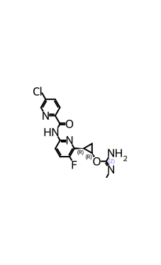 C/N=C(/N)O[C@@H]1C[C@@H]1c1nc(NC(=O)c2ccc(Cl)cn2)ccc1F